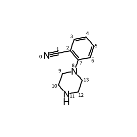 N#Cc1ccc[c]c1N1CCNCC1